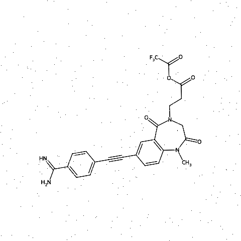 CN1C(=O)CN(CCC(=O)OC(=O)C(F)(F)F)C(=O)c2cc(C#Cc3ccc(C(=N)N)cc3)ccc21